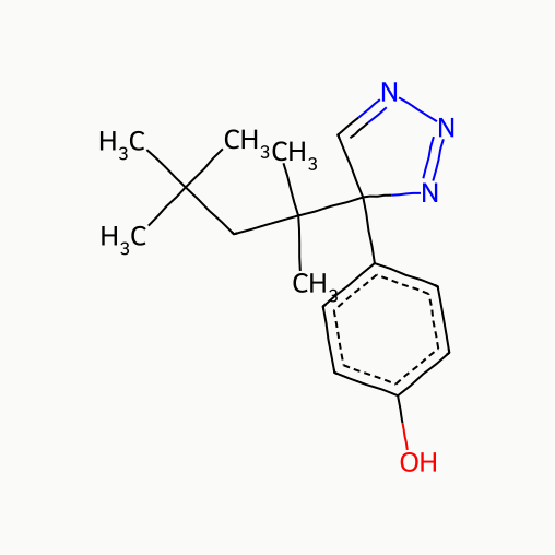 CC(C)(C)CC(C)(C)C1(c2ccc(O)cc2)C=NN=N1